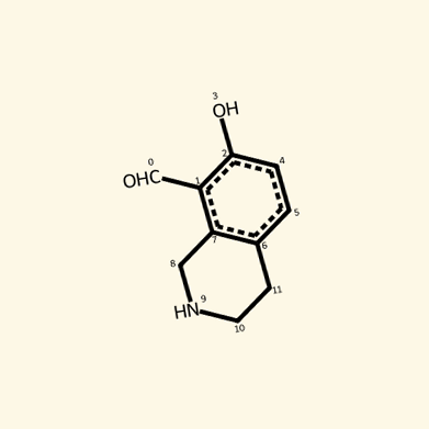 O=Cc1c(O)ccc2c1CNCC2